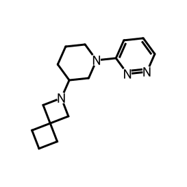 c1cnnc(N2CCCC(N3CC4(CCC4)C3)C2)c1